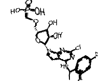 CC(Nc1nc(Cl)nc2c1ccn2[C@@H]1O[C@H](COCP(=O)(O)O)[C@@H](O)[C@H]1O)c1ccc(F)cc1F